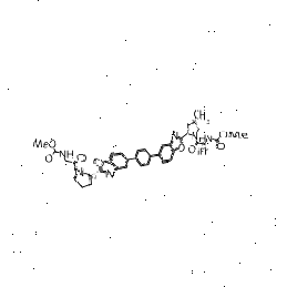 COC(=O)NCC(=O)N1CCC[C@H]1c1nc2cc(-c3ccc(-c4ccc5oc(C6C[C@H](C)CN6C(=O)[C@@H](NC(=O)OC)C(C)C)nc5c4)cc3)ccc2o1